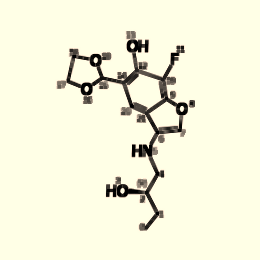 CC[C@@H](O)CNc1coc2c(F)c(O)c(C3OCCO3)cc12